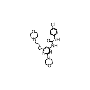 O=C(Nc1ccc(Cl)cc1)Nc1cc(OCCN2CCOCC2)nc(N2CCOCC2)n1